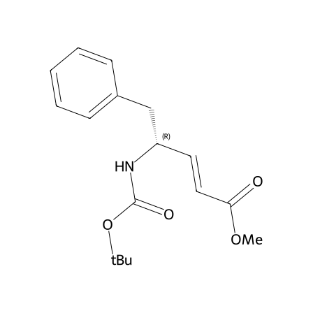 COC(=O)C=C[C@@H](Cc1ccccc1)NC(=O)OC(C)(C)C